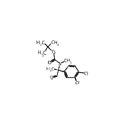 CN(C(=O)OC(C)(C)C)[C@@](C)(C=O)c1ccc(Cl)c(Cl)c1